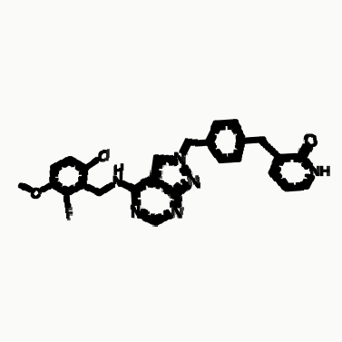 COc1ccc(Cl)c(CNc2ncnc3nn(Cc4ccc(Cc5ccc[nH]c5=O)cc4)cc23)c1F